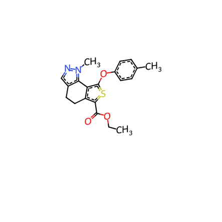 CCOC(=O)c1sc(Oc2ccc(C)cc2)c2c1CCc1cnn(C)c1-2